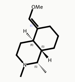 CO/C=C1\CCC[C@H]2[C@H]1CCN(C)[C@H]2C